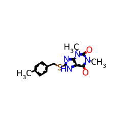 Cc1ccc(CSc2nc3c([nH]2)c(=O)n(C)c(=O)n3C)cc1